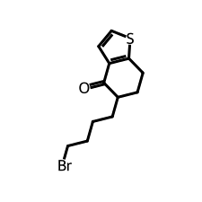 O=C1c2ccsc2CCC1CCCCBr